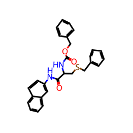 O=C(NC(CSCc1ccccc1)C(=O)Nc1ccc2ccccc2c1)OCc1ccccc1